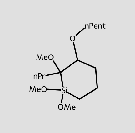 CCCCCOC1CCC[Si](OC)(OC)C1(CCC)OC